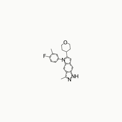 Cc1cc(-n2c(C3CCOCC3)cc3cc4[nH]nc(C)c4cc32)ccc1F